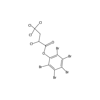 O=C(Oc1c(Br)c(Br)c(Br)c(Br)c1Br)C(Cl)CC(Cl)(Cl)Cl